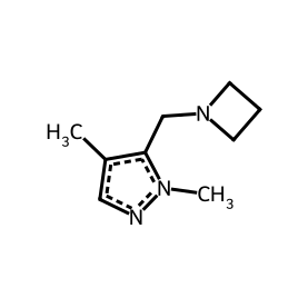 Cc1cnn(C)c1CN1CCC1